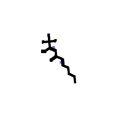 CCCC/C=C/C(=O)/C=C(\O)C(F)(F)F